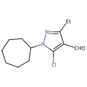 CCc1nn(C2CCCCCC2)c(Cl)c1C=O